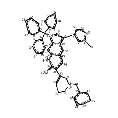 Cc1cc(-c2nn(C(c3ccccc3)(c3ccccc3)c3ccccc3)c3cc4[nH]c(=O)c(C5=CCCN(Cc6ccccc6)C5)cc4cc23)ccn1